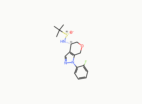 CC(C)(C)[S@+]([O-])N[C@@H]1COCc2c1cnn2-c1ccccc1F